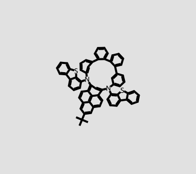 CC(C)(C)c1cc2ccc3c4cc(c5ccc(c1)c2c35)N(c1cccc2c1sc1ccccc12)c1cccc(c1)-c1ccccc1-c1ccccc1-c1cccc(c1)N4c1cccc2c1sc1ccccc12